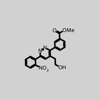 COC(=O)c1cccc(-c2nnc(-c3ccccc3[N+](=O)[O-])cc2CCO)c1